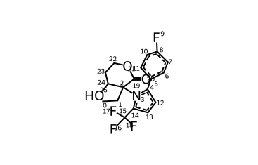 CCC1(n2c(-c3ccc(F)cc3)ccc2C(F)(F)F)C(=O)OCCC1O